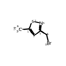 FC(F)(F)c1cc(CBr)ns1